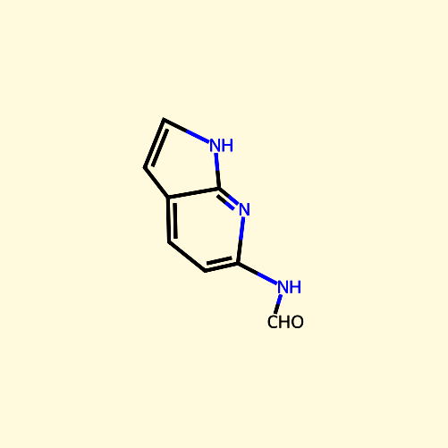 O=CNc1ccc2cc[nH]c2n1